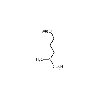 COCCCN(C)C(=O)O